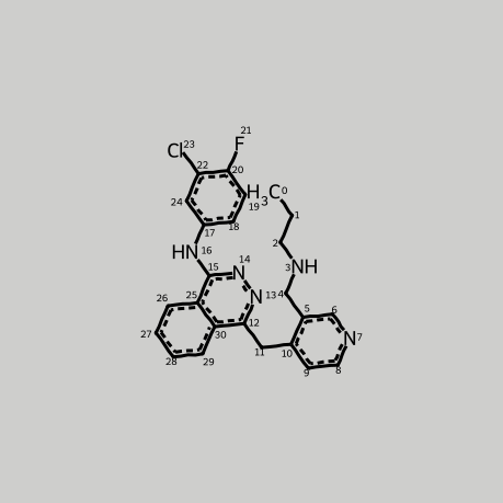 CCCNCc1cnccc1Cc1nnc(Nc2ccc(F)c(Cl)c2)c2ccccc12